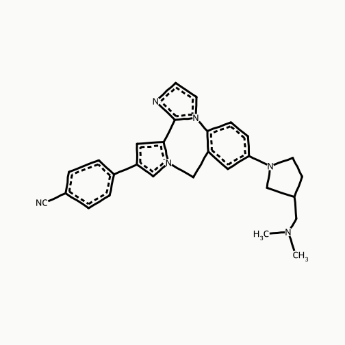 CN(C)CC1CCN(c2ccc3c(c2)Cn2cc(-c4ccc(C#N)cc4)cc2-c2nccn2-3)C1